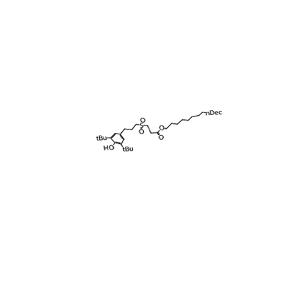 CCCCCCCCCCCCCCCCCCOC(=O)CCS(=O)(=O)CCCc1cc(C(C)(C)C)c(O)c(C(C)(C)C)c1